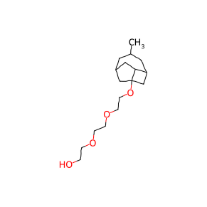 CC1CC2CC3C(C1)CC3(OCCOCCOCCO)C2